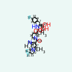 CC1(OC(=O)N[C@@H](Cc2ccc(F)cc2)B(O)O)CCCN(C(=O)C(C#N)=CC(C)(C)N2CCC(F)(F)C2)C1